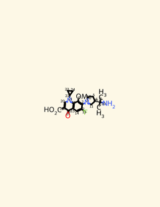 COc1c(N2CC[C@@H](C(C)(C)N)C2)c(F)cc2c(=O)c(C(=O)O)cn(C3CC3)c12